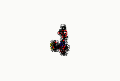 c1ccc(-c2cccc3c2oc2ccc(-c4ccc(N(c5ccc(-c6cccc7sc8ccccc8c67)cc5)c5cccc6c5oc5ccccc56)cc4)cc23)cc1